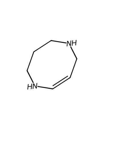 C1=CNCCCNC1